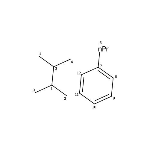 CC(C)C(C)C.CCCc1ccccc1